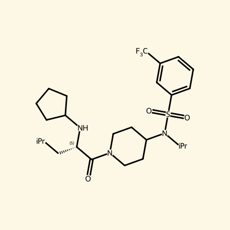 CC(C)C[C@H](NC1CCCC1)C(=O)N1CCC(N(C(C)C)S(=O)(=O)c2cccc(C(F)(F)F)c2)CC1